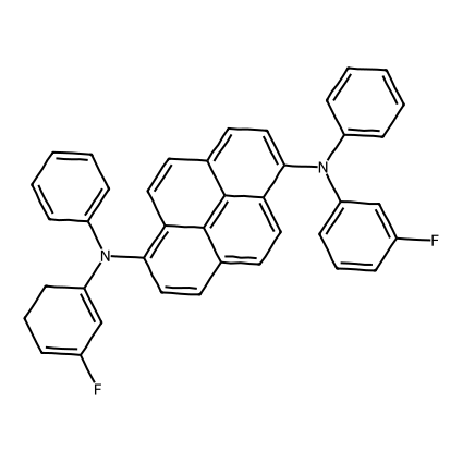 FC1=CCCC(N(c2ccccc2)c2ccc3ccc4c(N(c5ccccc5)c5cccc(F)c5)ccc5ccc2c3c54)=C1